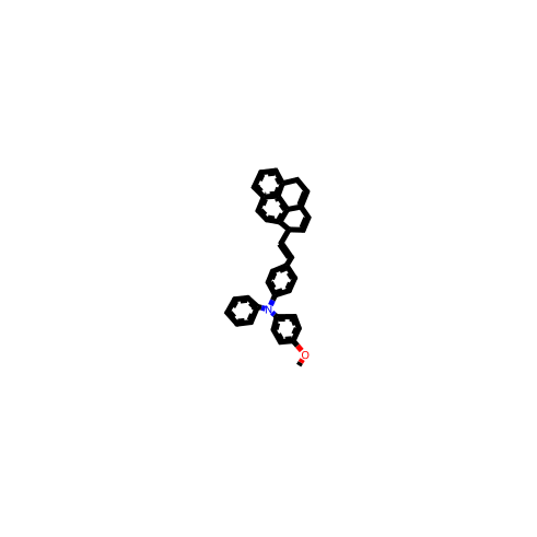 COc1ccc(N(c2ccccc2)c2ccc(C=CC3C=CC4=CCc5cccc6ccc3c4c56)cc2)cc1